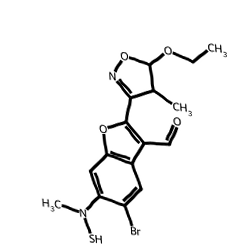 CCOC1ON=C(c2oc3cc(N(C)S)c(Br)cc3c2C=O)C1C